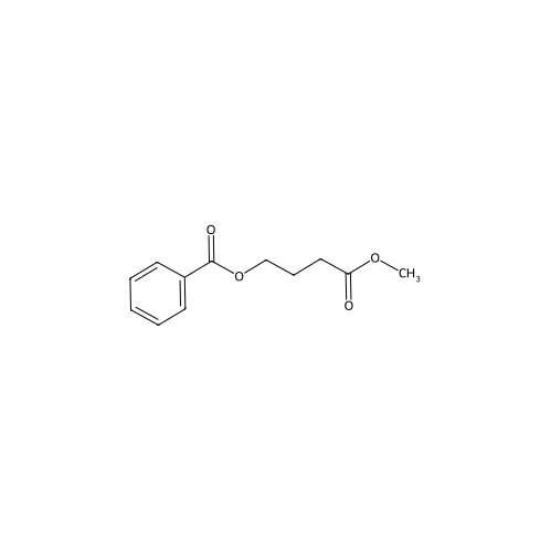 COC(=O)CCCOC(=O)c1ccccc1